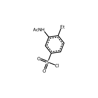 CCc1ccc(S(=O)(=O)Cl)cc1NC(C)=O